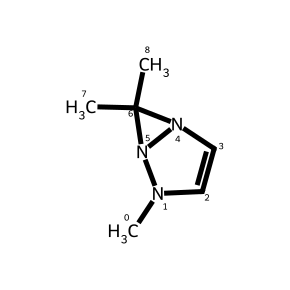 CN1C=CN2N1C2(C)C